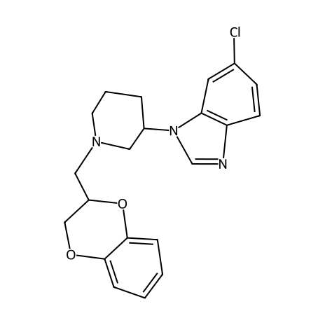 Clc1ccc2ncn(C3CCCN(CC4COc5ccccc5O4)C3)c2c1